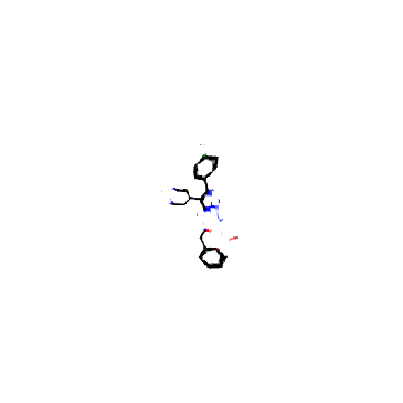 COc1ccccc1CC(=O)Nc1c(C2C=CN=CC2)c(-c2ccc(F)cc2)nn1C